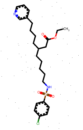 CCOC(=O)CC(CCCCCNS(=O)(=O)c1ccc(Cl)cc1)CCCCc1cccnc1